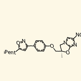 CCCCCc1cc(-c2ccc(OC[C@@]3(C)Cn4cc([N+](=O)[O-])nc4O3)cc2)no1